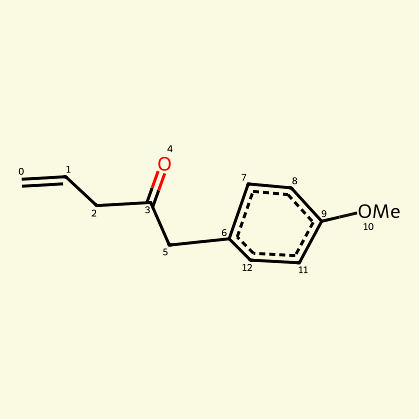 C=CCC(=O)Cc1ccc(OC)cc1